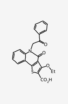 CCOc1c(C(=O)O)sc2c1c(=O)n(CC(=O)c1ccccc1)c1ccccc21